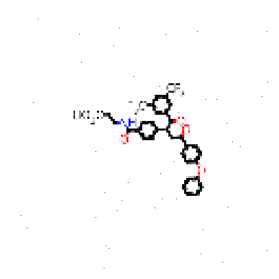 O=C(O)CCNC(=O)c1ccc(C(CC(=O)c2ccc(Oc3ccccc3)cc2)C(=O)c2cc(C(F)(F)F)cc(C(F)(F)F)c2)cc1